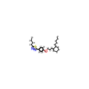 CCCCCC1CCCCC1CCCOc1ccc(-c2nnc(CCCC)s2)cc1